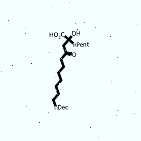 CCCCCCCCCCCCCCCCCC(=O)CC(O)(CCCCC)C(=O)O